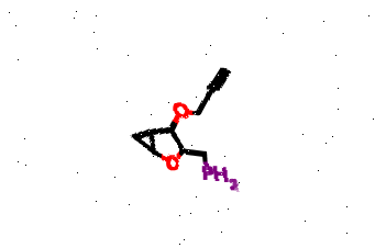 C#CCOC1C(CP)OC2CC21